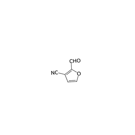 N#Cc1ccoc1C=O